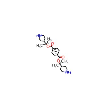 CC(C)(OC(=O)C12CCC(C(=O)OC(C)(C)C3CCNCC3)(CC1)CC2)C1CCNCC1